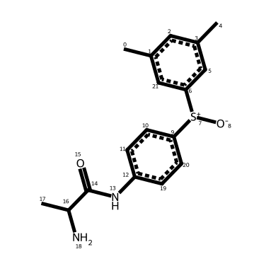 Cc1cc(C)cc([S+]([O-])c2ccc(NC(=O)C(C)N)cc2)c1